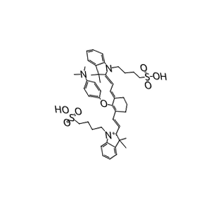 CN(C)c1ccc(OC2=C(/C=C/C3=[N+](CCCCS(=O)(=O)O)c4ccccc4C3(C)C)CCC/C2=C\C=C2\N(CCCCS(=O)(=O)O)c3ccccc3C2(C)C)cc1